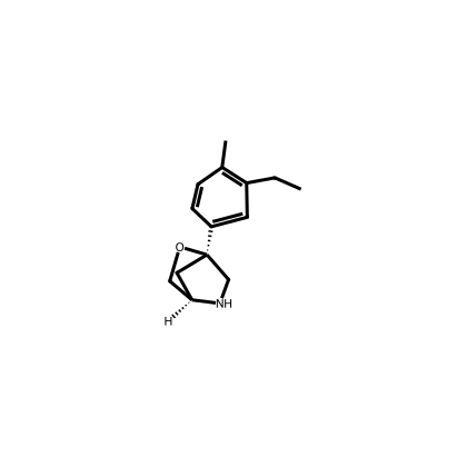 CCc1cc([C@@]23CN[C@@H](CO2)C3)ccc1C